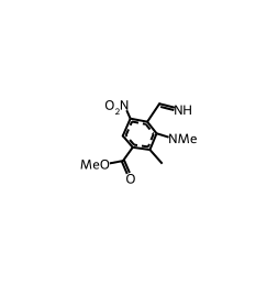 CNc1c(C)c(C(=O)OC)cc([N+](=O)[O-])c1C=N